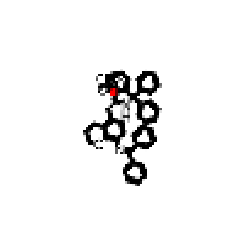 COC(=O)[C@H](Cc1ccc(N=C(c2ccccc2)c2ccccc2)c2c1CCCO2)NC(c1ccccc1)(c1ccccc1)c1ccccc1